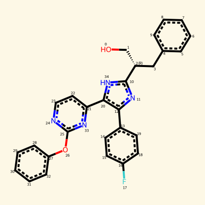 OC[C@H](Cc1ccccc1)c1nc(-c2ccc(F)cc2)c(-c2ccnc(Oc3ccccc3)n2)[nH]1